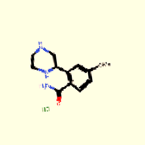 COc1ccc(C(N)=O)c(C2CNCCN2)c1.Cl